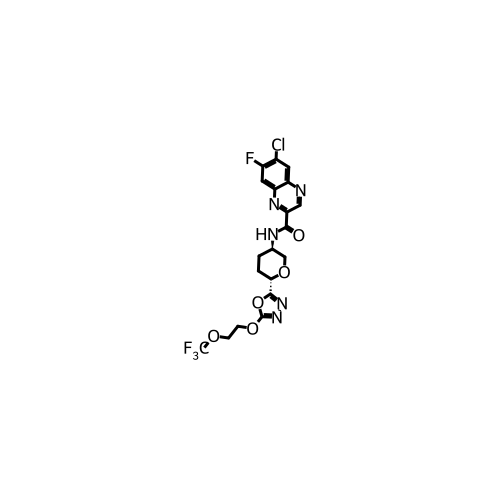 O=C(N[C@@H]1CC[C@@H](c2nnc(OCCOC(F)(F)F)o2)OC1)c1cnc2cc(Cl)c(F)cc2n1